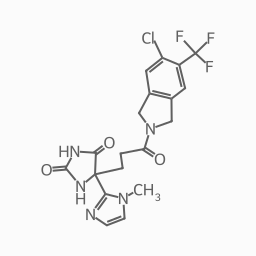 Cn1ccnc1C1(CCC(=O)N2Cc3cc(Cl)c(C(F)(F)F)cc3C2)NC(=O)NC1=O